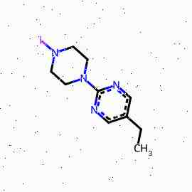 CCc1cnc(N2CCN(I)CC2)nc1